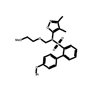 COCCOCN(c1onc(C)c1C)S(=O)(=O)c1ccccc1-c1ccc(OC(C)C)cc1